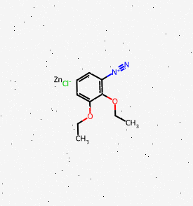 CCOc1cccc([N+]#N)c1OCC.[Cl-].[Zn]